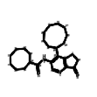 O=C1CCc2c1ncc(NC(=O)C1CCCCCCC1)c2C1CCCCCCCC1